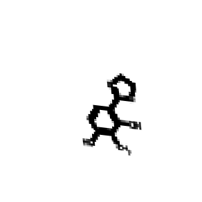 Cc1c(O)ccc(C2=NCCO2)c1O